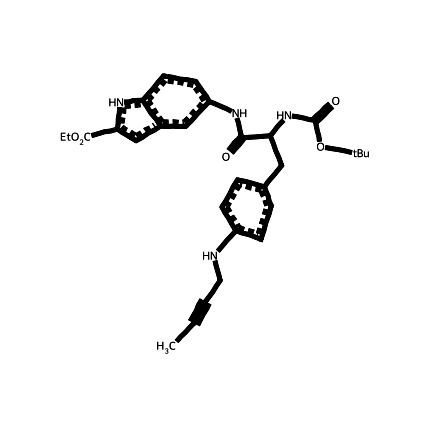 CC#CCNc1ccc(CC(NC(=O)OC(C)(C)C)C(=O)Nc2ccc3[nH]c(C(=O)OCC)cc3c2)cc1